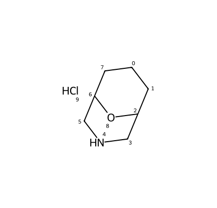 C1CC2CNCC(C1)O2.Cl